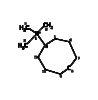 C[N+](C)(C)C1CCCCCCC1